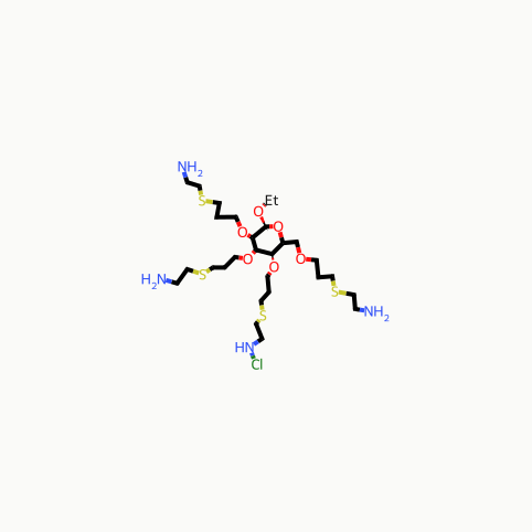 CCO[C@H]1OC(COCCCSCCN)[C@H](OCCCSCCNCl)C(OCCCSCCN)C1OCCCSCCN